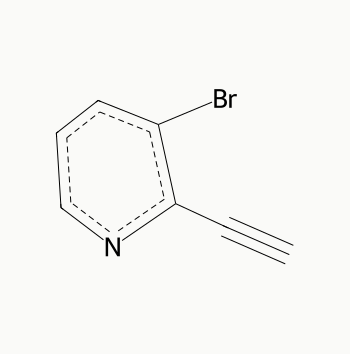 C#Cc1ncccc1Br